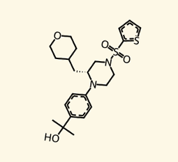 CC(C)(O)c1ccc(N2CCN(S(=O)(=O)c3cccs3)C[C@H]2CC2CCOCC2)cc1